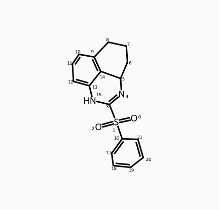 O=S(=O)(C1=NC2CCCc3cccc(c32)N1)c1ccccc1